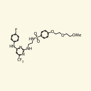 COCCOCCOc1ccc(S(=O)(=O)NCCNc2nc(Nc3ccc(F)cc3)cc(C(F)(F)F)n2)cc1